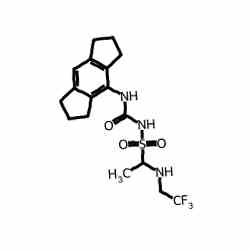 CC(NCC(F)(F)F)S(=O)(=O)NC(=O)Nc1c2c(cc3c1CCC3)CCC2